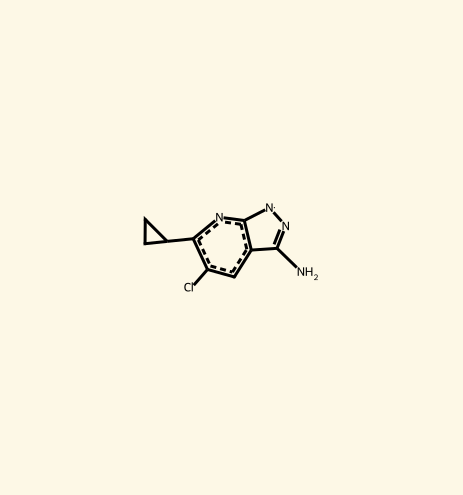 NC1=N[N]c2nc(C3CC3)c(Cl)cc21